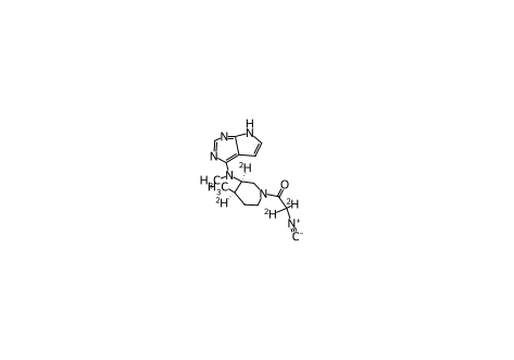 [2H]C([2H])([N+]#[C-])C(=O)N1CC[C@@]([2H])(C)[C@@]([2H])(N(C)c2ncnc3[nH]ccc23)C1